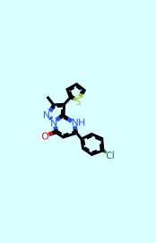 Cc1nn2c(=O)cc(-c3ccc(Cl)cc3)[nH]c2c1-c1cccs1